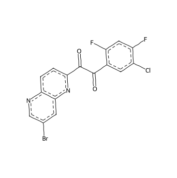 O=C(C(=O)c1cc(Cl)c(F)cc1F)c1ccc2ncc(Br)cc2n1